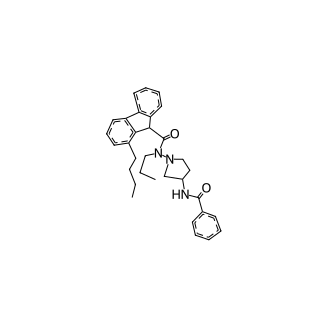 CCCCc1cccc2c1C(C(=O)N(CCC)N1CCC(NC(=O)c3ccccc3)C1)c1ccccc1-2